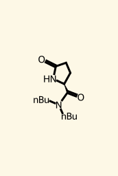 CCCCN(CCCC)C(=O)[C@@H]1CCC(=O)N1